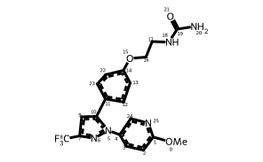 COc1ccc(-n2nc(C(F)(F)F)cc2-c2ccc(OCCNC(N)=O)cc2)cn1